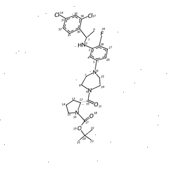 CC(Nc1cc(N2CCN(C(=O)[C@H]3CCCN3C(=O)OC(C)(C)C)CC2)ccc1F)c1ccc(Cl)cc1Cl